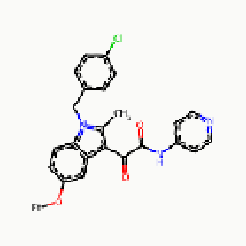 CCOc1ccc2c(c1)c(C(=O)C(=O)Nc1ccncc1)c(C)n2Cc1ccc(Cl)cc1